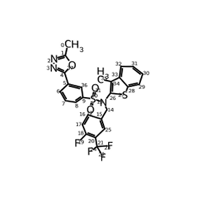 Cc1nnc(-c2cccc(S(=O)(=O)N(Cc3ccc(F)c(C(F)(F)F)c3)c3sc4ccccc4c3C)c2)o1